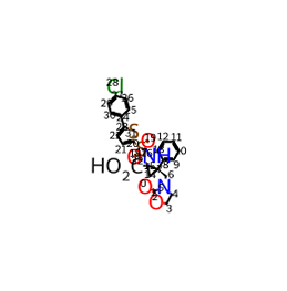 O=C1OCCN1C[C@@]1(c2ccccc2)CC1(NS(=O)(=O)c1ccc(-c2ccc(Cl)cc2)s1)C(=O)O